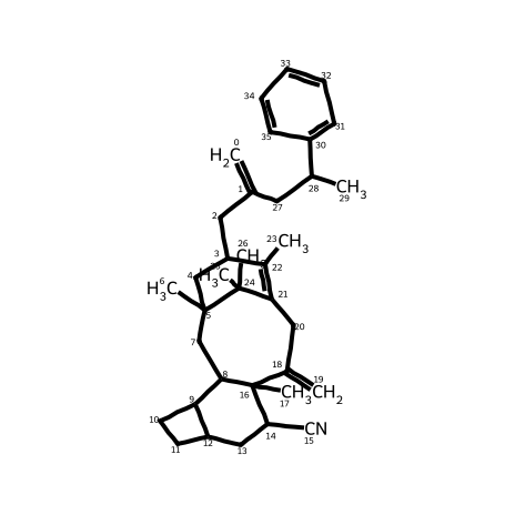 C=C(CC1CC2(C)CC3C4CCC4CC(C#N)C3(C)C(=C)CC(=C1C)C2(C)C)CC(C)c1ccccc1